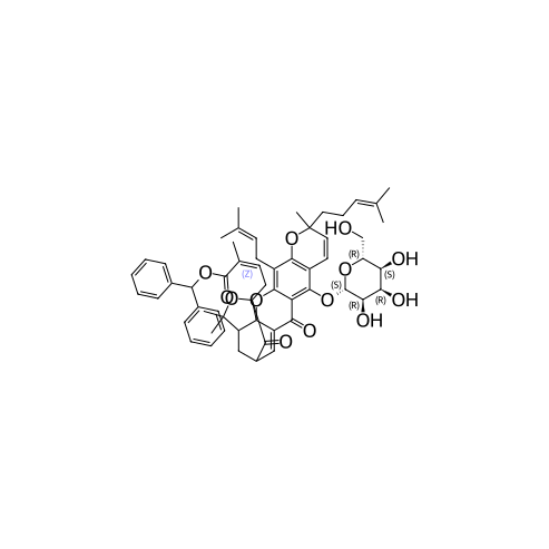 CC(C)=CCCC1(C)C=Cc2c(c(CC=C(C)C)c3c(c2O[C@@H]2O[C@H](CO)[C@@H](O)[C@@H](O)[C@H]2O)C(=O)C2=CC4CC5C(C)(C)OC(C/C=C(/C)C(=O)OC(c6ccccc6)c6ccccc6)(C4=O)C25O3)O1